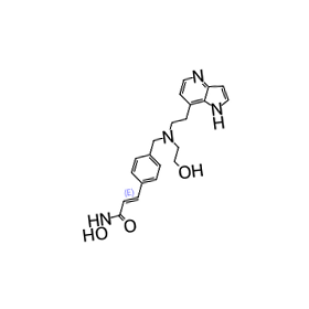 O=C(/C=C/c1ccc(CN(CCO)CCc2ccnc3cc[nH]c23)cc1)NO